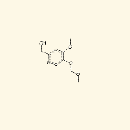 COCOc1cnc(CO)cc1OC